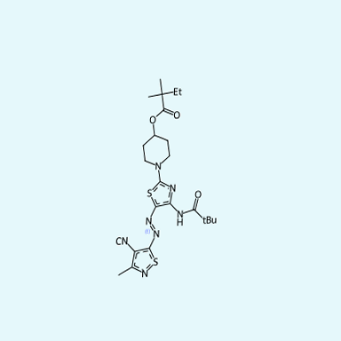 [C-]#[N+]c1c(C)nsc1/N=N/c1sc(N2CCC(OC(=O)C(C)(C)CC)CC2)nc1NC(=O)C(C)(C)C